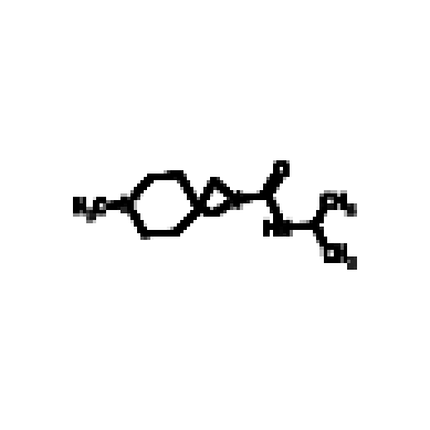 CC(C)NC(=O)N1CC2(CCN(C)CC2)C1